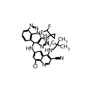 Cn1nnc2cccc(C(Nc3cc(Cl)c4ncc(C#N)c(NCC(C)(C)C)c4c3)c3cn(C4(C(F)F)CC4)nn3)c21